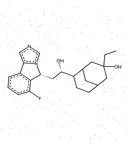 CCC1(O)CC2CCC([C@@H](O)C[C@@H]3c4c(F)cccc4-c4cncn43)C(C2)C1